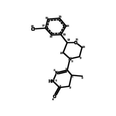 CC1CC(=O)NN=C1N1CCOC(c2cccc(Cl)c2)C1